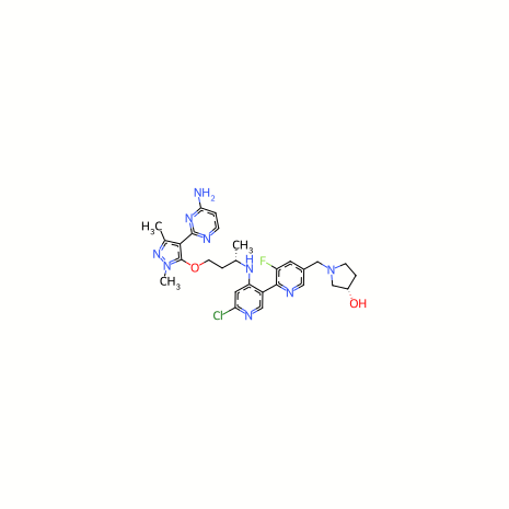 Cc1nn(C)c(OCC[C@H](C)Nc2cc(Cl)ncc2-c2ncc(CN3CC[C@H](O)C3)cc2F)c1-c1nccc(N)n1